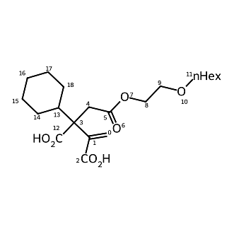 C=C(C(=O)O)C(CC(=O)OCCOCCCCCC)(C(=O)O)C1CCCCC1